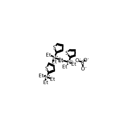 CC[N+](CC)(CC)c1cccs1.CC[N+](CC)(CC)c1cccs1.CC[N+](CC)(CC)c1cccs1.[O-]B([O-])[O-]